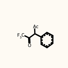 CC(=O)C(C(=O)C(F)(F)F)c1ccccc1